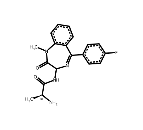 C[C@H](N)C(=O)NC1N=C(c2ccc(F)cc2)c2ccccc2N(C)C1=O